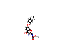 Cc1ccc(COc2ccc3c(=O)cc(CNC(=O)OC(C)(C)C)oc3c2)cc1